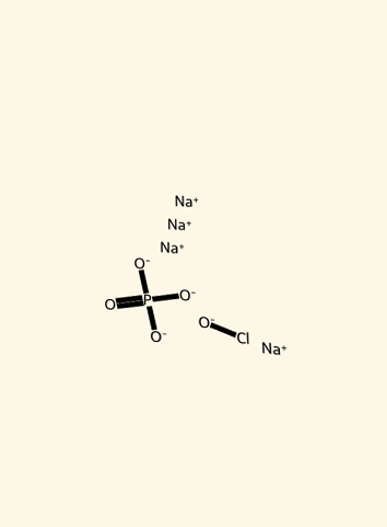 O=P([O-])([O-])[O-].[Na+].[Na+].[Na+].[Na+].[O-]Cl